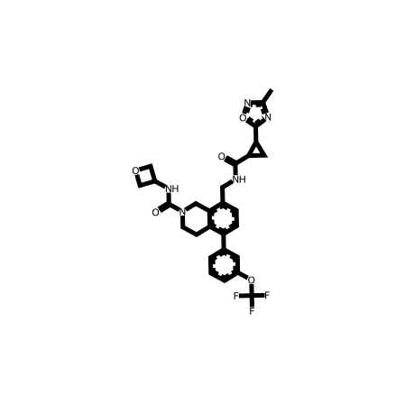 Cc1noc(C2CC2C(=O)NCc2ccc(-c3cccc(OC(F)(F)F)c3)c3c2CN(C(=O)NC2COC2)CC3)n1